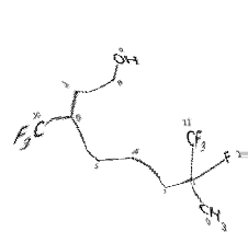 CC(F)(CCCC(CCO)C(F)(F)F)C(F)(F)F